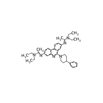 CCN(CC)/C(C)=N/c1ccc2c(c1)nc(N1CCC(c3ccccc3)CC1)c1cc(/N=C(\C)N(CC)CC)ccc12